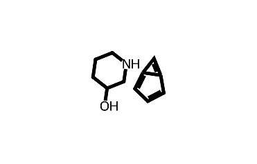 OC1CCCNC1.c1cc2cc-2c1